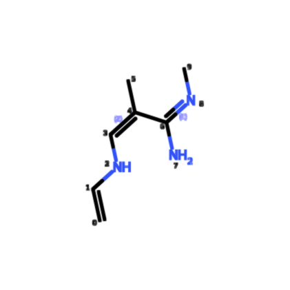 C=CN/C=C(C)\C(N)=N/C